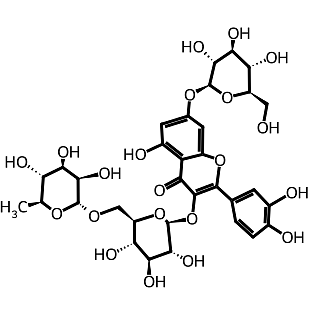 C[C@@H]1O[C@@H](OC[C@H]2O[C@@H](Oc3c(-c4ccc(O)c(O)c4)oc4cc(O[C@@H]5O[C@H](CO)[C@@H](O)[C@H](O)[C@H]5O)cc(O)c4c3=O)[C@H](O)[C@@H](O)[C@@H]2O)[C@H](O)[C@H](O)[C@H]1O